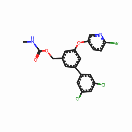 CNC(=O)OCc1cc(Oc2ccc(Br)nc2)cc(-c2cc(Cl)cc(Cl)c2)c1